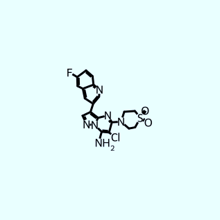 Nc1c(Cl)c(N2CCS(=O)(=O)CC2)nc2c(-c3cnc4ccc(F)cc4c3)cnn12